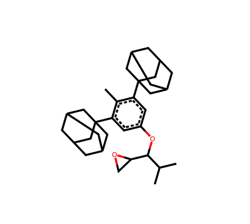 Cc1c(C23CC4CC(CC(C4)C2)C3)cc(OC(C(C)C)C2CO2)cc1C12CC3CC(CC(C3)C1)C2